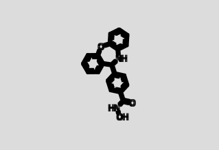 O=C(NO)c1ccc(C2Nc3ccccc3Oc3ccccc32)cc1